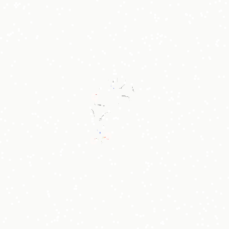 CNC1COc2ccc(CNS(C)(=O)=O)cc2C1Cc1ccccc1